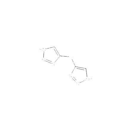 c1[nH]nnc1Oc1c[nH]nn1